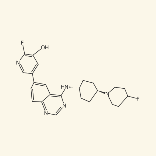 Oc1cc(-c2ccc3ncnc(N[C@H]4CC[C@H](N5CCC(F)CC5)CC4)c3c2)cnc1F